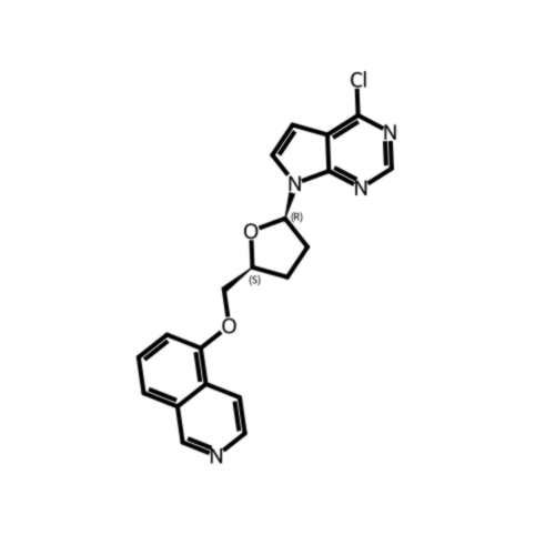 Clc1ncnc2c1ccn2[C@H]1CC[C@@H](COc2cccc3cnccc23)O1